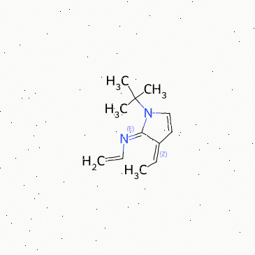 C=C/N=C1\C(=C/C)C=CN1C(C)(C)C